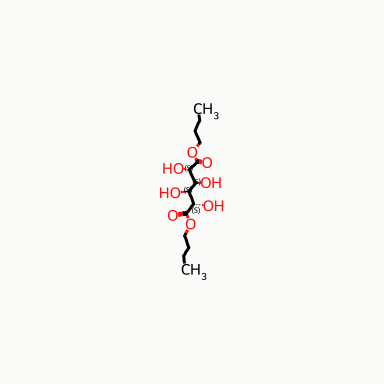 CCCCOC(=O)[C@@H](O)[C@@H](O)[C@H](O)[C@H](O)C(=O)OCCCC